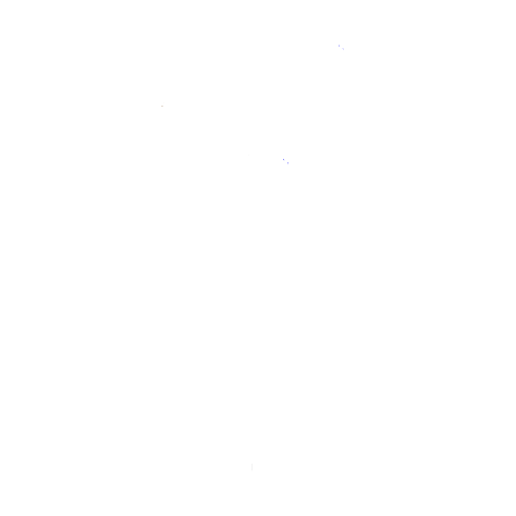 CCOCCOCCOc1ccc(-n2c3ccc(N)cc3c3cc(Br)ccc32)cc1